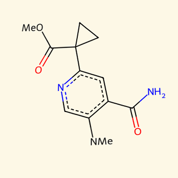 CNc1cnc(C2(C(=O)OC)CC2)cc1C(N)=O